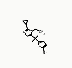 CC(C)(c1ccc(Br)s1)c1nnc(C2CC2)n1CC(F)(F)F